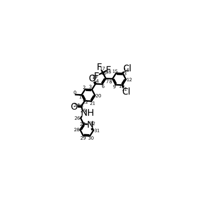 Cc1cc(C(=O)C=C(c2cc(Cl)cc(Cl)c2)C(F)(F)F)ccc1C(=O)NCc1ccccn1